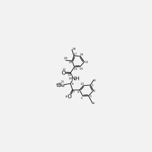 Cc1cc(C)cc(C(=O)C(NC(=O)c2cccc(C)c2C)C(C)(C)C)c1